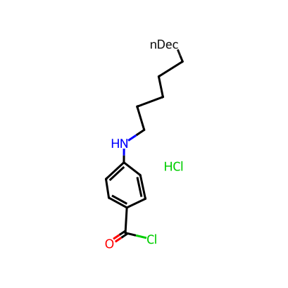 CCCCCCCCCCCCCCCNc1ccc(C(=O)Cl)cc1.Cl